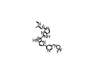 C=N/C(C)=C\N(C)c1nccc2[nH]c(-c3n[nH]c4ccc(-c5cncc(CN6CCC(F)(F)C6)c5)nc34)nc12